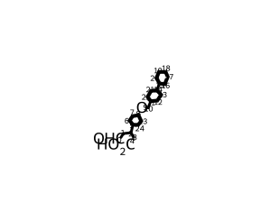 O=CCC(CC(=O)O)c1ccc(OCc2ccc(-c3ccccc3)cc2)cc1